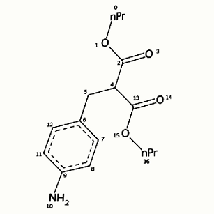 CCCOC(=O)C(Cc1ccc(N)cc1)C(=O)OCCC